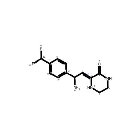 NC(/C=C1\NCCNC1=O)c1ccc(C(F)F)cc1